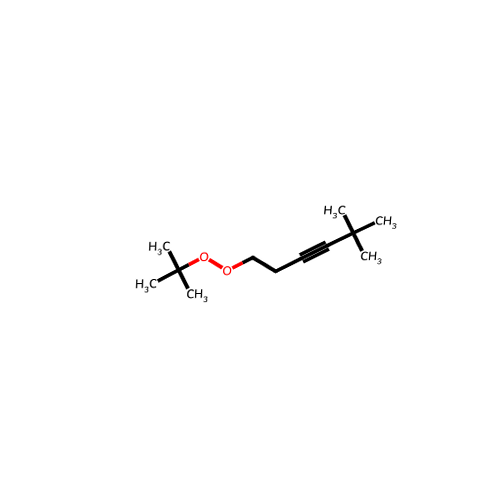 CC(C)(C)C#CCCOOC(C)(C)C